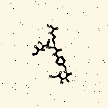 C=CC(=O)N[C@@H](C(=O)N[C@H](CCCNC(N)=O)C(=O)Nc1ccc(COC(=O)N(C)[C@H](C(=O)NC)C(C)C)cc1)C(C)C